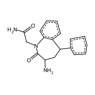 NC(=O)CN1C(=O)C(N)CC(c2ccccc2)c2ccccc21